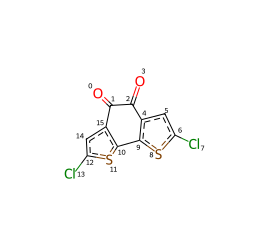 O=C1C(=O)c2cc(Cl)sc2-c2sc(Cl)cc21